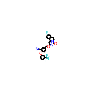 N#Cc1cc(COc2cc3n(c(=O)n2)CCc2cc(F)ccc2-3)ccc1Oc1cccc(C(F)(F)F)c1